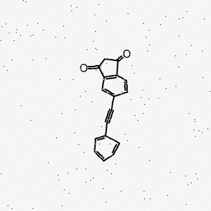 O=C1CC(=O)c2cc(C#Cc3ccccc3)ccc21